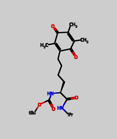 CC1=C(C)C(=O)C(CCCC[C@H](NC(=O)OC(C)(C)C)C(=O)NC(C)C)=C(C)C1=O